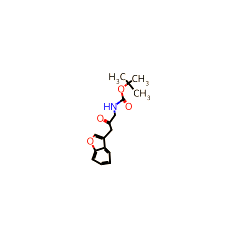 CC(C)(C)OC(=O)NCC(=O)Cc1coc2ccccc12